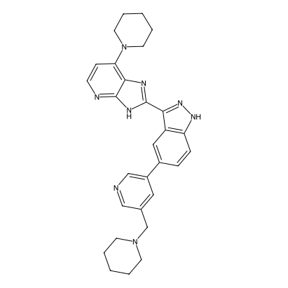 c1cc(N2CCCCC2)c2nc(-c3n[nH]c4ccc(-c5cncc(CN6CCCCC6)c5)cc34)[nH]c2n1